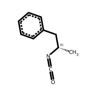 C[C@@H](Cc1ccccc1)N=C=O